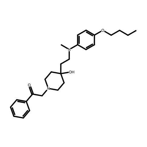 CCCCOc1ccc(N(C)CCC2(O)CCN(CC(=O)c3ccccc3)CC2)cc1